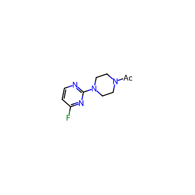 CC(=O)N1CCN(c2nccc(F)n2)CC1